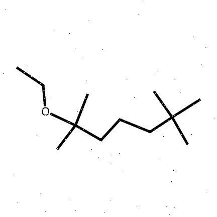 CCOC(C)(C)CCCC(C)(C)C